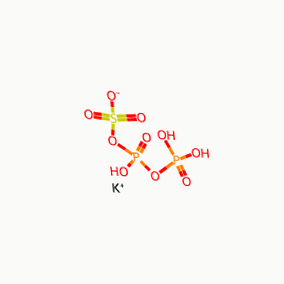 O=P(O)(O)OP(=O)(O)OS(=O)(=O)[O-].[K+]